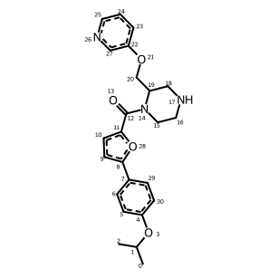 CC(C)Oc1ccc(-c2ccc(C(=O)N3CCNCC3COc3cccnc3)o2)cc1